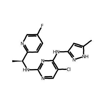 Cc1cc(Nc2nc(N[C@@H](C)c3ccc(F)cn3)ncc2Cl)n[nH]1